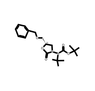 CC(C)(C)OC(=O)N(N1C[C@@H](COCc2ccccc2)OC1=O)C(C)(C)C